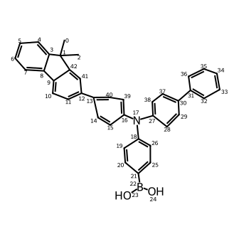 CC1(C)c2ccccc2-c2ccc(-c3ccc(N(c4ccc(B(O)O)cc4)c4ccc(-c5ccccc5)cc4)cc3)cc21